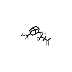 CNC(C)(C)C(=O)NC1C2CC3CC1CC(C(=O)OC)(C3)C2